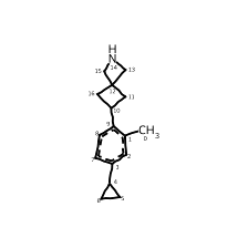 Cc1cc(C2CC2)ccc1C1CC2(CNC2)C1